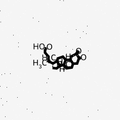 C[C@H](CCC(=O)O)[C@H]1CC[C@H]2[C@@H]3CCC4CC(=O)C(=O)C[C@]4(C)[C@H]3CC[C@]12C